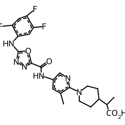 Cc1cc(NC(=O)c2nnc(Nc3cc(F)c(F)cc3F)o2)cnc1N1CCC(C(C)C(=O)O)CC1